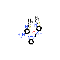 Cc1nc2cc(N)ccc2s1.Cc1nc2cc(NC(=O)Cn3cnc4ccccc43)ccc2s1